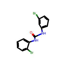 O=C(Nc1cccc(Br)c1)Nc1ccccc1Br